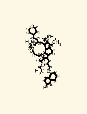 CCOC(=O)c1c(CCCOc2cccc3cc(F)ccc23)c2ccc(Cl)c3c2n1CCCS(=O)(=O)N(C)C(CCC1CCOCC1)c1nn(C)c(CC)c1-3